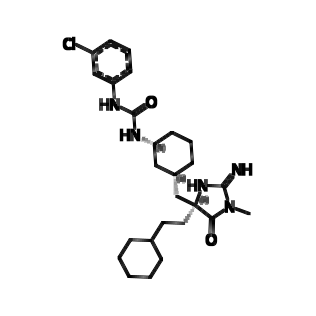 CN1C(=N)N[C@](CCC2CCCCC2)(C[C@H]2CCC[C@@H](NC(=O)Nc3cccc(Cl)c3)C2)C1=O